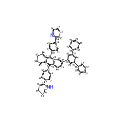 C1=C(c2ccc(-c3c4c(c(-c5ccc(-c6ccccn6)cc5)c5cc(-c6cc(-c7ccccc7)cc(-c7ccccc7)c6)ccc35)=CCCC=4)cc2)NCCC1